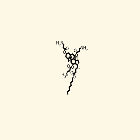 CCCCCCCCOC(=O)CC[C@@H](C)[C@H]1CC[C@H]2C3C(OC(=O)CCN)CC4C[C@H](OC(=O)CCN)CCC4(C)[C@H]3C[C@H](OC(=O)CCN)[C@]12C